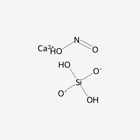 O=NO.[Ca+2].[O-][Si]([O-])(O)O